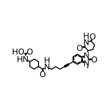 Cn1c(=O)n(C2CCC(=O)NC2=O)c2ccc(C#CCCCNC(=O)C3CCC(NC(=O)O)CC3)cc21